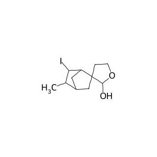 CC1C2CC(C1I)C1(CCOC1O)C2